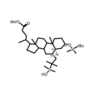 COC(=O)CCC(C)C1CCC2C3C[C@H](CC(C)(C)[Si](C)(C)O)[C@@H]4C[C@H](O[Si](C)(C)C(C)(C)C)CCC4(C)C3CCC12C